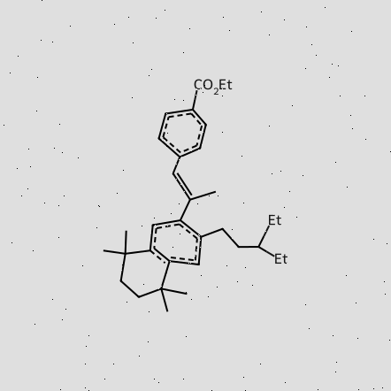 CCOC(=O)c1ccc(C=C(C)c2cc3c(cc2CCC(CC)CC)C(C)(C)CCC3(C)C)cc1